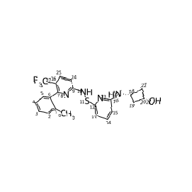 Cc1ccccc1-c1nc(NSc2cccc(N[C@H]3C[C@@H](O)C3)n2)ccc1C(F)(F)F